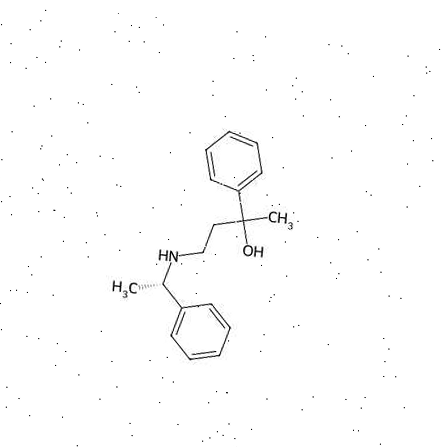 C[C@H](NCCC(C)(O)c1ccccc1)c1ccccc1